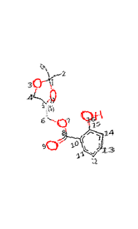 CC1(C)OC[C@@H](COC(=O)c2ccccc2O)O1